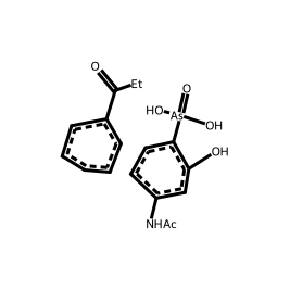 CC(=O)Nc1ccc([As](=O)(O)O)c(O)c1.CCC(=O)c1ccccc1